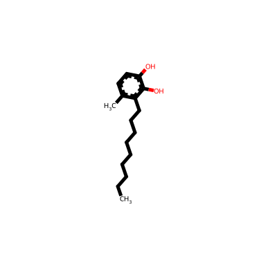 CCCCCCCCCc1c(C)ccc(O)c1O